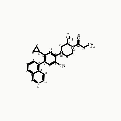 N#Cc1cc(-c2cccc3cnccc23)c(C2CC2)nc1N1CCN(C(=O)CC(F)(F)F)C(C(F)(F)F)C1